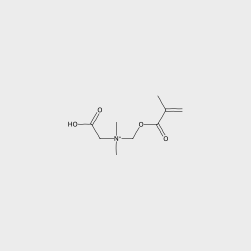 C=C(C)C(=O)OC[N+](C)(C)CC(=O)O